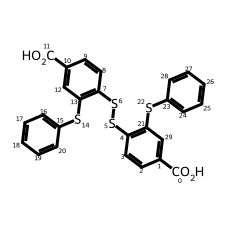 O=C(O)c1ccc(SSc2ccc(C(=O)O)cc2Sc2ccccc2)c(Sc2ccccc2)c1